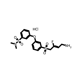 CN(C)S(=O)(=O)c1cccc(Oc2cccc(S(=O)(=O)C/C(F)=C/CN)c2)c1.Cl